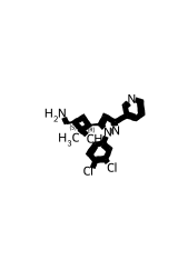 CC1(C)[C@@H](CN)C[C@H]1c1cc(-c2cccnc2)nn1-c1ccc(Cl)c(Cl)c1